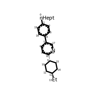 CCCCCCCc1ccc(-c2ccc([C@H]3CC[C@H](CC)CC3)nc2)cc1